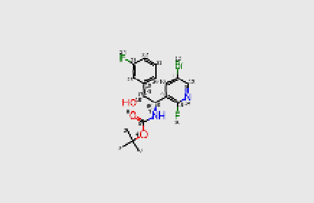 CC(C)(C)OC(=O)N[C@H](c1cc(Br)cnc1F)[C@H](O)c1cccc(F)c1